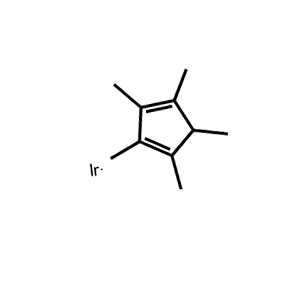 CC1=C(C)C(C)C(C)=C1C.[Ir]